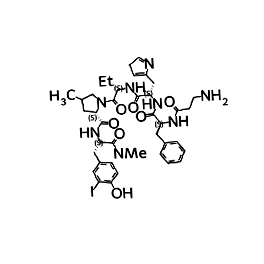 CC[C@H](NC(=O)[C@H](CC1=CCC=N1)NC(=O)[C@H](Cc1ccccc1)NC(=O)CCN)C(=O)N1CC(C)C[C@H]1C(=O)N[C@@H](Cc1ccc(O)c(I)c1)C(=O)NC